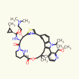 CCn1c(-c2cccnc2[C@H](C)OC)c2c3cc(ccc31)-c1csc(n1)[C@@H](OCCN(C)C)[C@H](NC(=O)[C@H]1C[C@@H]1C)C(=O)N1CCC[C@H](N1)C(=O)OCC(C)(C)C2